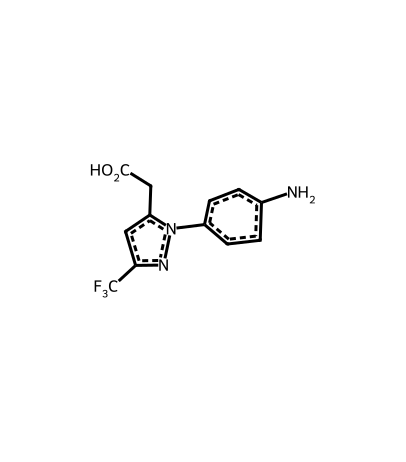 Nc1ccc(-n2nc(C(F)(F)F)cc2CC(=O)O)cc1